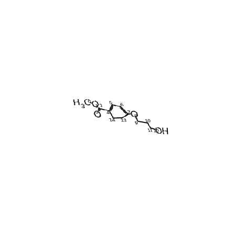 COC(=O)C1=CC=C(OCCCO)CC1